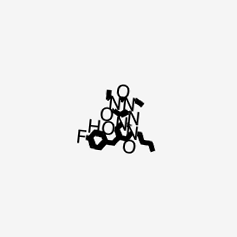 CCCCn1c(=O)c(Cc2ccc(F)cc2)c(O)n2c3c(=O)n(CC)c(=O)n(CC)c3nc12